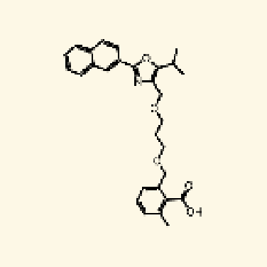 Cc1cccc(COCCCOCc2nc(-c3ccc4ccccc4c3)oc2C(C)C)c1C(=O)O